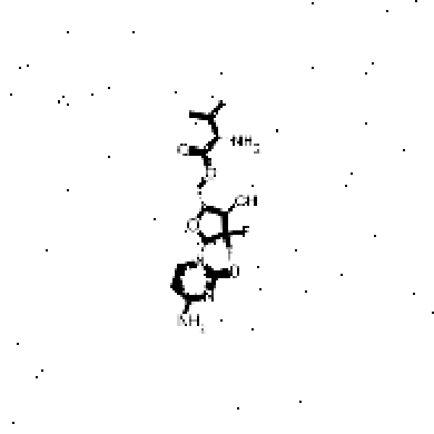 CC(C)[C@H](N)C(=O)OC[C@H]1O[C@@H](n2ccc(N)nc2=O)C(F)(F)[C@@H]1O